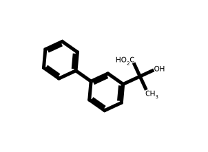 CC(O)(C(=O)O)c1cccc(-c2ccccc2)c1